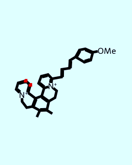 COc1ccc(/C=C/C=C/c2cccc3[n+]2CCc2c(C)c(C)c4c(c2-3)-c2c3ccccc3cc[n+]2CC4)cc1